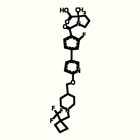 C[C@@]1(C(=O)O)CCCN1C(=O)c1ccc(-c2ccc(OCC3CCN(CC4(C(F)(F)F)CCC4)CC3)nc2)cc1F